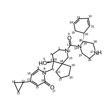 O=C(N1CC[C@@](O)(Cn2ccc(C3CC3)cc2=O)C2(CCCC2)C1)N1CCNC[C@H]1C1C=CC=CC1